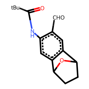 CC(C)(C)C(=O)Nc1cc2c(cc1C=O)C1CCC2O1